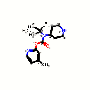 C.Cc1ccnc(OC(=O)N(C2CCNCC2)C(C)(C)C)c1